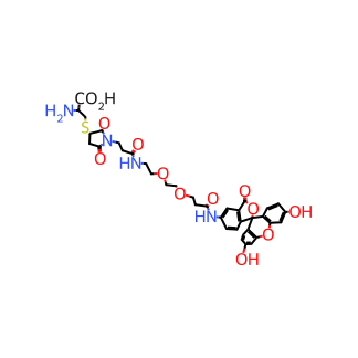 NC(CSC1CC(=O)N(CCC(=O)NCCOCCOCCC(=O)Nc2ccc3c(c2)C(=O)OC32c3ccc(O)cc3Oc3cc(O)ccc32)C1=O)C(=O)O